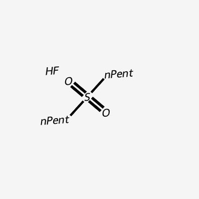 CCCCCS(=O)(=O)CCCCC.F